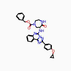 O=C1NCCN(C(=O)OCc2ccccc2)C[C@H]1Nc1nc2ccccc2c2nc(-c3ccc(OC4CC4)cc3)nn12